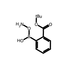 CC(C)(C)OC(=O)c1ccccc1B(O)ON